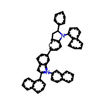 c1ccc(C2Cc3cc(-c4ccc5cc(-c6cccc7ccccc67)n(-c6ccc7ccccc7c6)c5c4)ccc3N2c2cccc3ccccc23)cc1